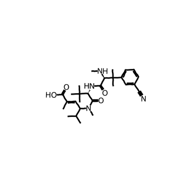 CN[C@H](C(=O)N[C@H](C(=O)N(C)C(/C=C(\C)C(=O)O)C(C)C)C(C)(C)C)C(C)(C)c1cccc(C#N)c1